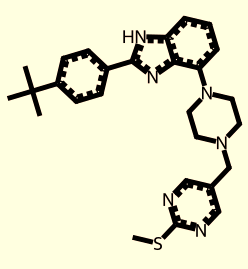 CSc1ncc(CN2CCN(c3cccc4[nH]c(-c5ccc(C(C)(C)C)cc5)nc34)CC2)cn1